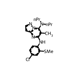 CCCN(CCC)c1c(C)c(Nc2ccc(Cl)cc2SC)nc2ccnn12